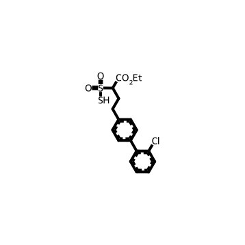 CCOC(=O)C(CCc1ccc(-c2ccccc2Cl)cc1)S(=O)(=O)S